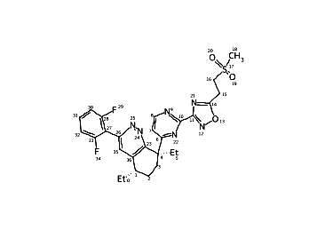 CC[C@H]1CC[C@](CC)(c2ccnc(-c3noc(CCS(C)(=O)=O)n3)n2)c2nnc(-c3c(F)cccc3F)cc21